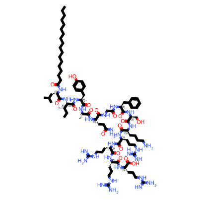 CCCCCCCCCCCCCCCCCC(=O)N[C@@H](CC(C)C)C(=O)N[C@H](C(=O)N[C@@H](Cc1ccc(O)cc1)C(=O)N[C@@H](C)C(=O)N[C@@H](CCC(N)=O)C(=O)NCC(=O)N[C@@H](Cc1ccccc1)C(=O)N[C@@H](CO)C(=O)N[C@@H](CCCCN)C(=O)N[C@@H](CCCNC(=N)N)C(=O)N[C@@H](CCCNC(=N)N)C(=O)N[C@@H](CCCNC(=N)N)C(=O)N[C@@H](CCCNC(=N)N)C(=O)O)[C@@H](C)CC